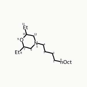 CCCCCCCCCCCCN1CC(CC)OC(CC)C1